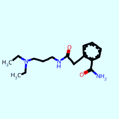 CCN(CC)CCCNC(=O)Cc1ccccc1C(N)=O